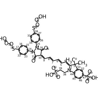 CC1(C)C(=CC=CC=CC=C2C(=O)N(c3ccc(SOOO)cc3)N(c3ccc(SOOO)cc3)C2=O)N(CCS(=O)(=O)O)c2ccc(S(=O)(=O)O)cc21